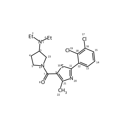 CCN(CC)C1CCN(C(=O)c2sc(-c3cccc(Cl)c3Cl)nc2C)C1